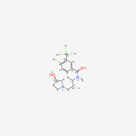 CC([C@H](C)CN1CC[C@@H](O)C1)N(C)C(=O)c1ccc(F)c(C(F)(F)F)c1